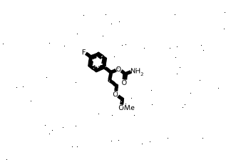 COCOCCC(OC(N)=O)c1ccc(F)cc1